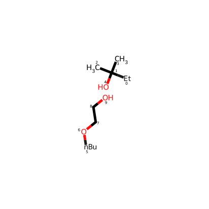 CCC(C)(C)O.CCCCOCCO